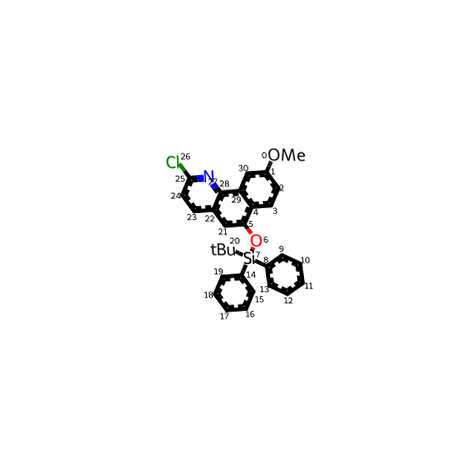 COc1ccc2c(O[Si](c3ccccc3)(c3ccccc3)C(C)(C)C)cc3ccc(Cl)nc3c2c1